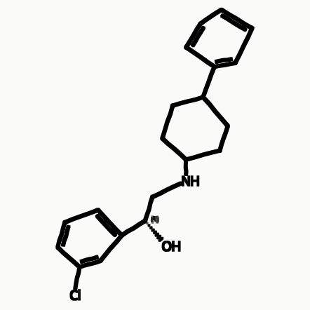 O[C@@H](CNC1CCC(c2ccccc2)CC1)c1cccc(Cl)c1